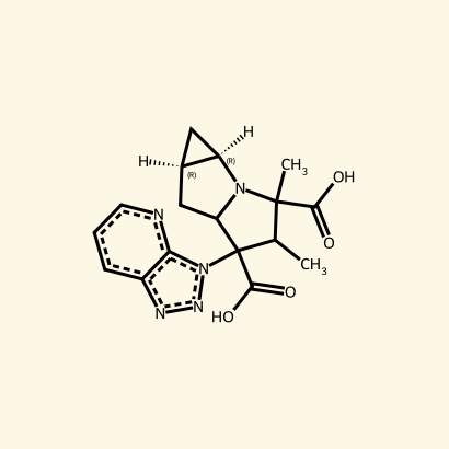 CC1C(C)(C(=O)O)N2C(C[C@H]3C[C@H]32)C1(C(=O)O)n1nnc2cccnc21